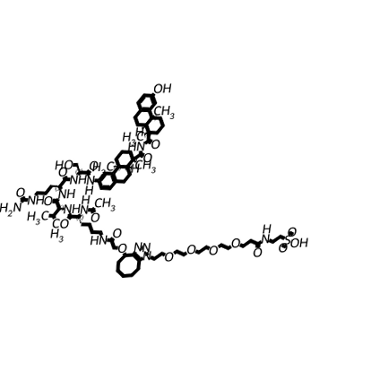 CC(=O)N[C@H](CCCCNC(=O)COC1CCCCCc2c1nnn2CCOCCOCCOCCOCCC(=O)NCCS(=O)(=O)O)C(=O)N[C@H](C(=O)N[C@@H](CCCNC(N)=O)C(=O)N[C@@H](CO)C(=O)Nc1ccc2c(c1)[C@@]1(C)CCC[C@](C)(C(=O)NC(=O)[C@@]3(C)CCC[C@]4(C)c5cc(O)ccc5CC[C@@H]34)[C@@H]1CC2)C(C)C